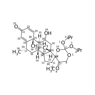 CC(C)OC1(OC(C)C)OCC(=O)[C@@]2(O1)[C@H](C)C[C@H]1[C@@H]3C[C@H](C)C4=CC(=O)C=C[C@]4(C)[C@H]3C(O)C[C@@]12C